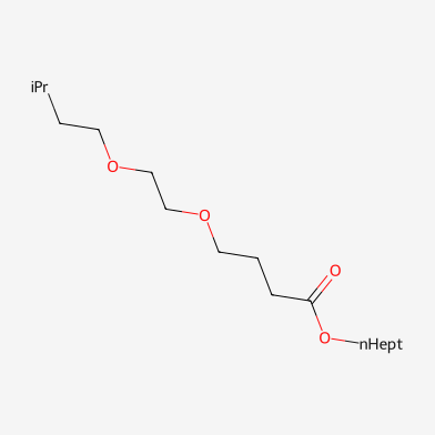 CCCCCCCOC(=O)CCCOCCOCCC(C)C